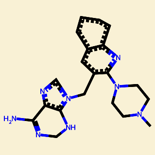 CN1CCN(c2nc3ccccc3cc2Cn2cnc3c2NCN=C3N)CC1